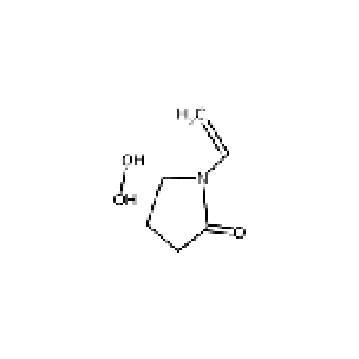 C=CN1CCCC1=O.OO